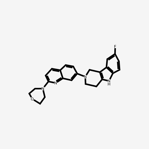 Fc1ccc2[nH]c3c(c2c1)CN(c1ccc2ccc(N4CCOCC4)nc2c1)CC3